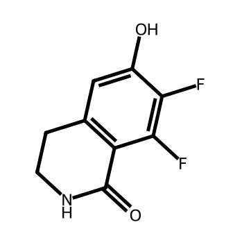 O=C1NCCc2cc(O)c(F)c(F)c21